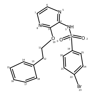 O=S(=O)(Nc1nccnc1OCCc1ccccc1)c1ccc(Br)cc1